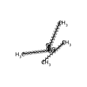 CCCCCCCCCCCC(O)CCCCCCCC.CCCCCCCCCCCCCCCCCC(=O)OOC(=O)CCCCCCCCCCCCCCCCC